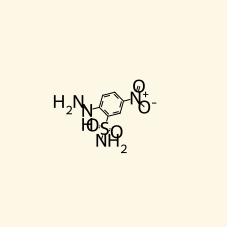 NNc1ccc([N+](=O)[O-])cc1S(N)(=O)=O